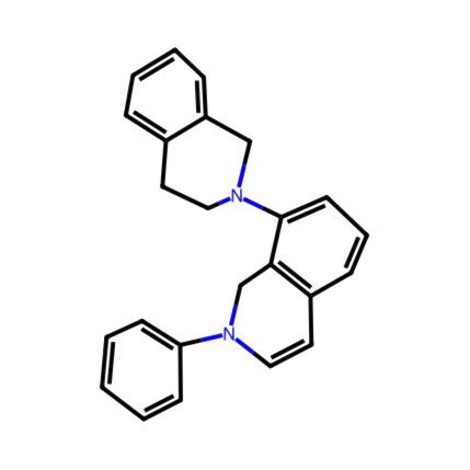 C1=CN(c2ccccc2)Cc2c1cccc2N1CCc2ccccc2C1